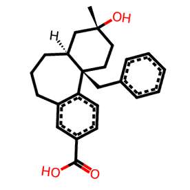 C[C@@]1(O)CC[C@]2(Cc3ccccc3)c3ccc(C(=O)O)cc3CCC[C@H]2C1